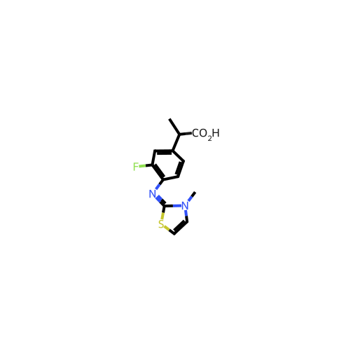 CC(C(=O)O)c1ccc(N=c2sccn2C)c(F)c1